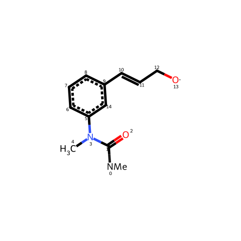 CNC(=O)N(C)c1cccc(C=CC[O])c1